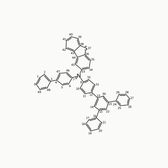 c1ccc(-c2ccc(N(c3ccc(-c4cc(-c5ccccc5)cc(-c5ccccc5)c4)cc3)c3ccc4sc5ccccc5c4c3)cc2)cc1